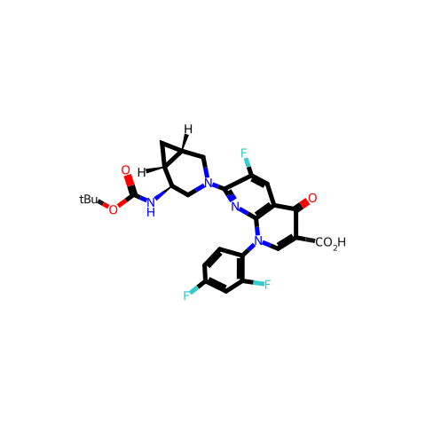 CC(C)(C)OC(=O)N[C@@H]1CN(c2nc3c(cc2F)c(=O)c(C(=O)O)cn3-c2ccc(F)cc2F)C[C@H]2C[C@H]21